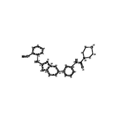 COc1ccccc1Nc1nc2ccc(-c3cccc(NC(=O)N4CCOCC4)c3)cn2n1